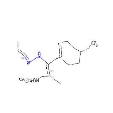 C/C=N\N/C(C1=CCC(C(F)(F)F)CC1)=C(/C)N(C)O